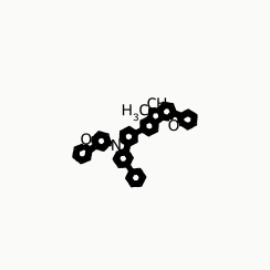 CC1(C)c2cc(-c3ccc4c(c3)c3cc(-c5ccccc5)ccc3n4-c3ccc4oc5ccccc5c4c3)ccc2-c2c1ccc1c2oc2ccccc21